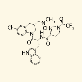 CN(C)C[C@H]1Cc2cc(Cl)ccc2N(C(=O)[C@@H](Cc2c[nH]c3ccccc23)NC(=O)C2CCN(C(=O)C(F)(F)F)CC2)C1